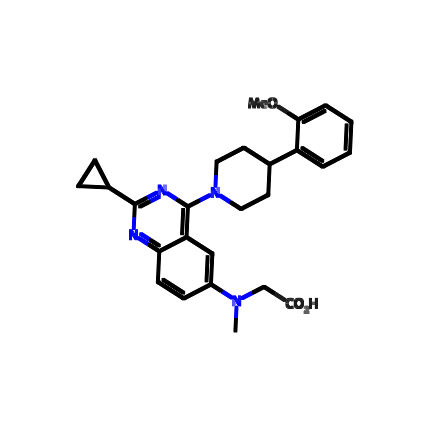 COc1ccccc1C1CCN(c2nc(C3CC3)nc3ccc(N(C)CC(=O)O)cc23)CC1